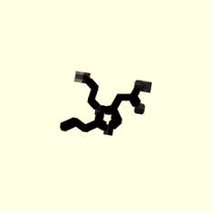 C=CCc1ncc(CC(=O)O)n1CCS